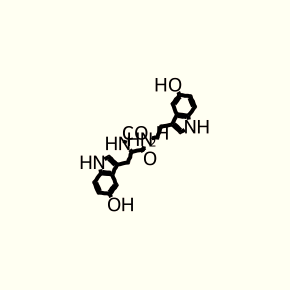 O=C(O)NC(Cc1c[nH]c2ccc(O)cc12)C(=O)NCCc1c[nH]c2ccc(O)cc12